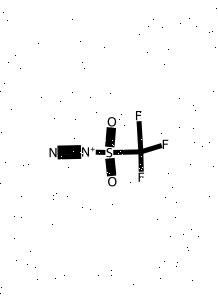 N#[N+]S(=O)(=O)C(F)(F)F